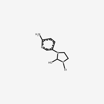 CCN1CCN(c2ccc(N)nc2)C1O